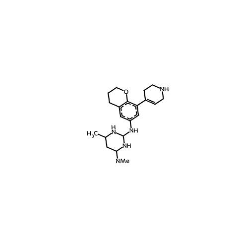 CNC1CC(C)NC(Nc2cc3c(c(C4=CCNCC4)c2)OCCC3)N1